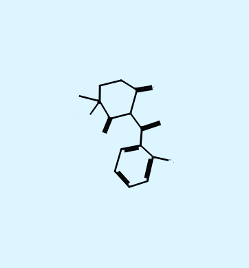 CC1(C)CCC(=O)C(C(=O)c2ccccc2[N+](=O)[O-])C1=O